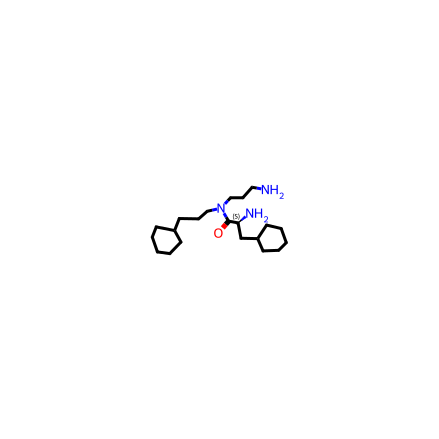 NCCCN(CCCC1CCCCC1)C(=O)[C@@H](N)CC1CCCCC1